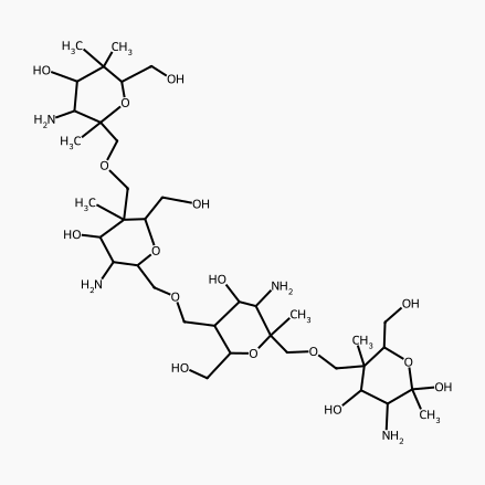 CC1(O)OC(CO)C(C)(COCC2(C)OC(CO)C(COCC3OC(CO)C(C)(COCC4(C)OC(CO)C(C)(C)C(O)C4N)C(O)C3N)C(O)C2N)C(O)C1N